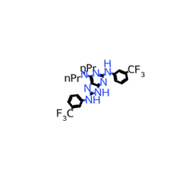 CCCN(CCC)c1nc(Nc2cccc(C(F)(F)F)c2)nc2[nH]c(Nc3cccc(C(F)(F)F)c3)nc12